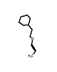 CC=COCCC1CCCCC1